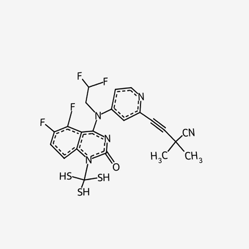 CC(C)(C#N)C#Cc1cc(N(CC(F)F)c2nc(=O)n(C(S)(S)S)c3ccc(F)c(F)c23)ccn1